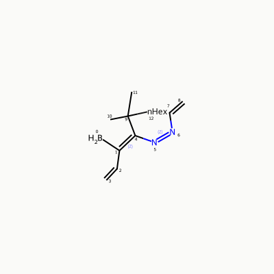 B/C(C=C)=C(/N=N\C=C)C(C)(C)CCCCCC